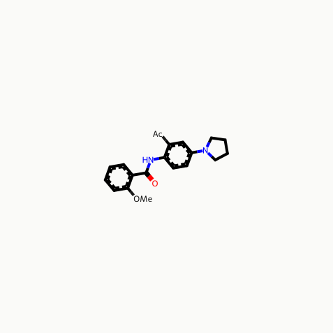 COc1ccccc1C(=O)Nc1ccc(N2CCCC2)cc1C(C)=O